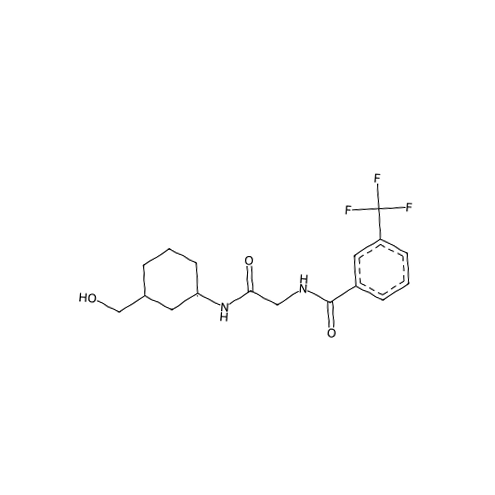 O=C(CNC(=O)c1cccc(C(F)(F)F)c1)N[C]1CCCC(CO)C1